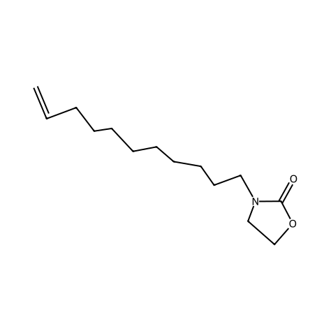 C=CCCCCCCCCCN1CCOC1=O